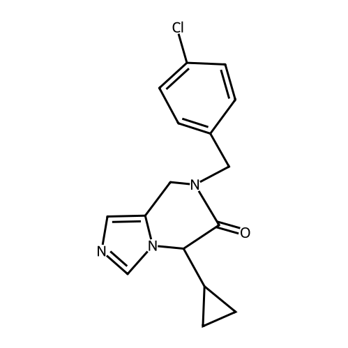 O=C1C(C2CC2)n2cncc2CN1Cc1ccc(Cl)cc1